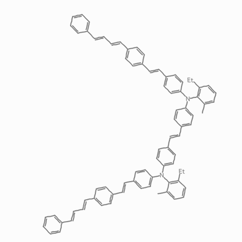 CCc1cccc(C)c1N(c1ccc(/C=C/c2ccc(/C=C/C=C/c3ccccc3)cc2)cc1)c1ccc(/C=C/c2ccc(N(c3ccc(/C=C/c4ccc(/C=C/C=C/c5ccccc5)cc4)cc3)c3c(C)cccc3CC)cc2)cc1